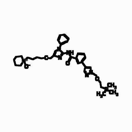 C[Si](C)(C)CCOCn1cc(-c2cccc(C(=O)Nc3nc(CCCCCC[N+]4([O-])CCCCC4)cn3-c3ccccc3)c2)cn1